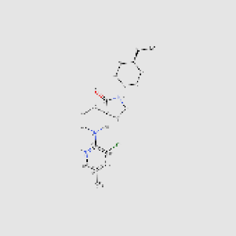 [C-]#[N+]C[C@H]1CC[C@H](N2CCC3(CCCN(c4ncc(C(F)(F)F)cc4Cl)C3)C2=O)CC1